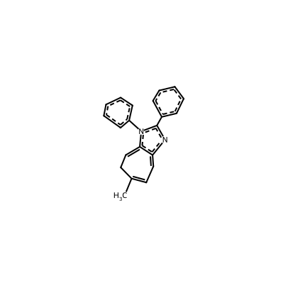 CC1=CC=c2nc(-c3ccccc3)n(-c3ccccc3)c2=CC1